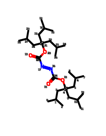 CC(C)C[Si](CC(C)C)(CC(C)C)OC(=O)N=NC(=O)O[Si](CC(C)C)(CC(C)C)CC(C)C